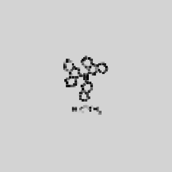 CC(C)c1ccc2cc(N(c3cc4ccccc4c4ccccc34)c3cc4ccccc4c4ccccc34)ccc2c1